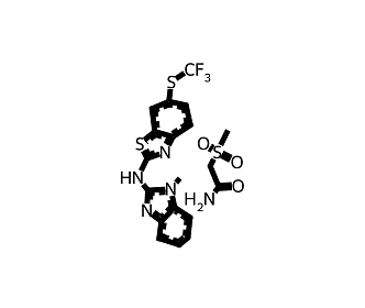 CS(=O)(=O)CC(N)=O.Cn1c(Nc2nc3ccc(SC(F)(F)F)cc3s2)nc2ccccc21